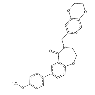 O=C1c2cc(-c3ccc(OC(F)(F)F)cc3)ccc2OCCN1Cc1ccc2c(c1)OCCO2